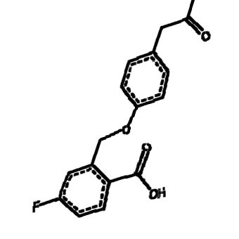 O=C(O)Cc1ccc(OCc2cc(F)ccc2C(=O)O)cc1